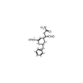 CCCCCCC1=CC(C([CH]C(N)=O)C=O)CC(Cc2ccccc2)S1